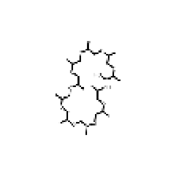 CC(O)COC(C)COC(C)COC(C)COC(C)COC(C)COC(C)COC(C)COC(C)COC(C)CO